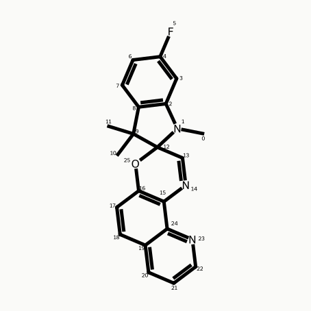 CN1c2cc(F)ccc2C(C)(C)C12C=Nc1c(ccc3cccnc13)O2